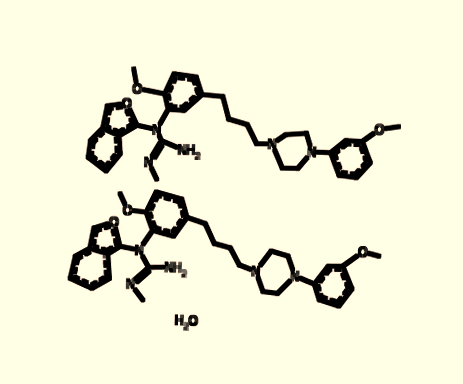 CN=C(N)N(c1cc(CCCCN2CCN(c3cccc(OC)c3)CC2)ccc1OC)c1occ2ccccc12.CN=C(N)N(c1cc(CCCCN2CCN(c3cccc(OC)c3)CC2)ccc1OC)c1occ2ccccc12.O